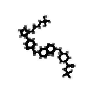 CC(C)(C)OC(=O)N1CCN(Cc2ccc3cc(Oc4ccc(-c5ccnn5COCC[Si](C)(C)C)cn4)ccc3n2)CC1